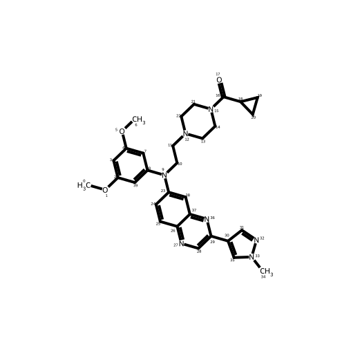 COc1cc(OC)cc(N(CCN2CCN(C(=O)C3CC3)CC2)c2ccc3ncc(-c4cnn(C)c4)nc3c2)c1